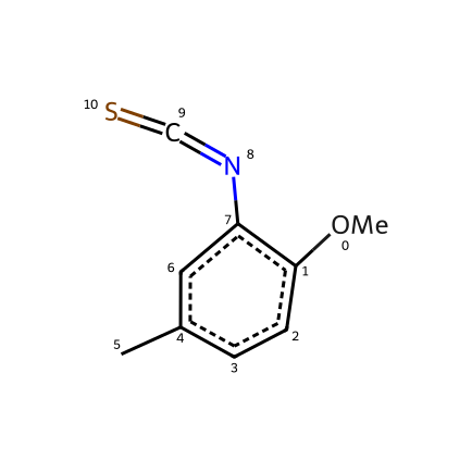 COc1ccc(C)cc1N=C=S